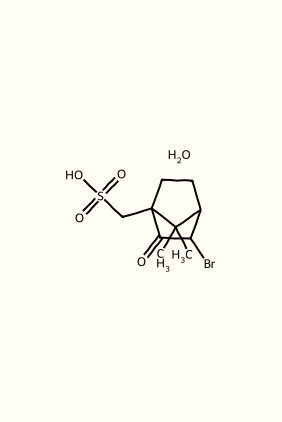 CC1(C)C2CCC1(CS(=O)(=O)O)C(=O)C2Br.O